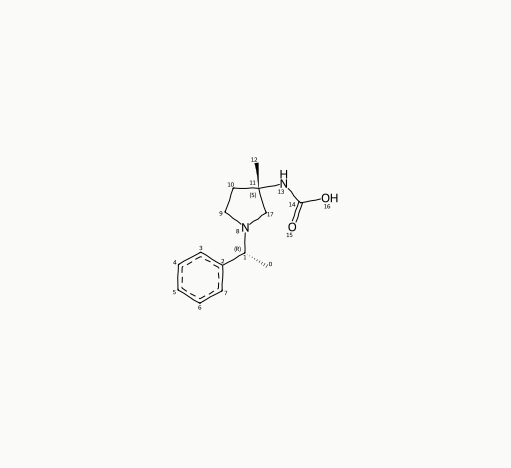 C[C@H](c1ccccc1)N1CC[C@](C)(NC(=O)O)C1